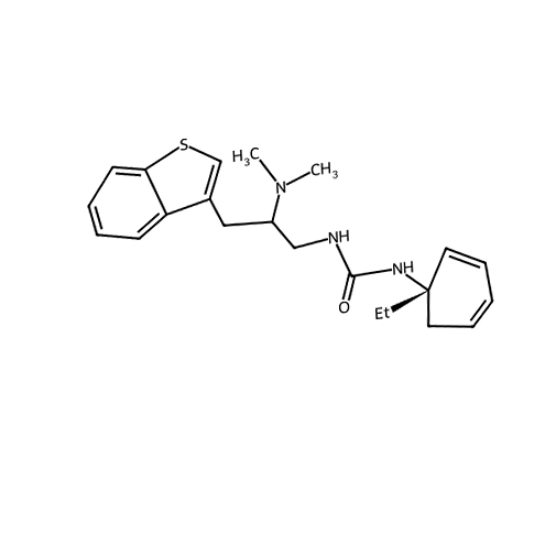 CC[C@@]1(NC(=O)NCC(Cc2csc3ccccc23)N(C)C)C=CC=CC1